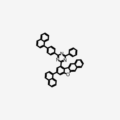 c1ccc(-c2nc(-c3ccc(-c4cccc5ccccc45)cc3)nc(-c3cc(-c4cccc5ccccc45)cc4oc5cc6ccccc6cc5c34)n2)cc1